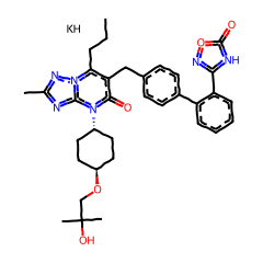 CCCc1c(Cc2ccc(-c3ccccc3-c3noc(=O)[nH]3)cc2)c(=O)n([C@H]2CC[C@H](OCC(C)(C)O)CC2)c2nc(C)nn12.[KH]